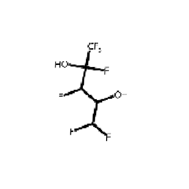 OC(C(F)F)C(F)C(O)(F)C(F)(F)F